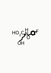 O=C(N[C@@H](CCCCO)C(=O)O)c1ccc(F)cc1